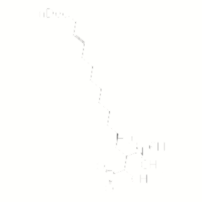 CCCCCCCCCCCC=CCCCCCCCCCC(C(C)P(=O)=O)[N+](C)(C)C